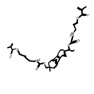 C=C(C)C(=O)OCCCNC(=O)OCC1(C)CC2CC(C1)C1CC(C(C)OC(=O)NCCCOC(=O)C(=C)C)CC21